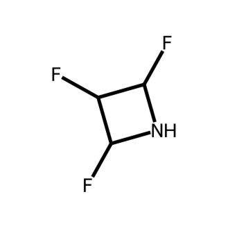 FC1NC(F)C1F